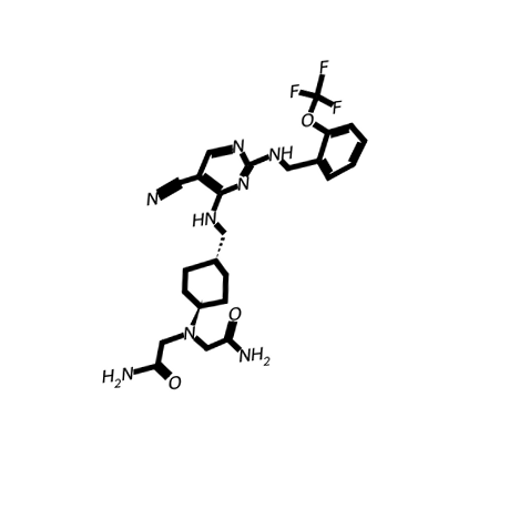 N#Cc1cnc(NCc2ccccc2OC(F)(F)F)nc1NC[C@H]1CC[C@H](N(CC(N)=O)CC(N)=O)CC1